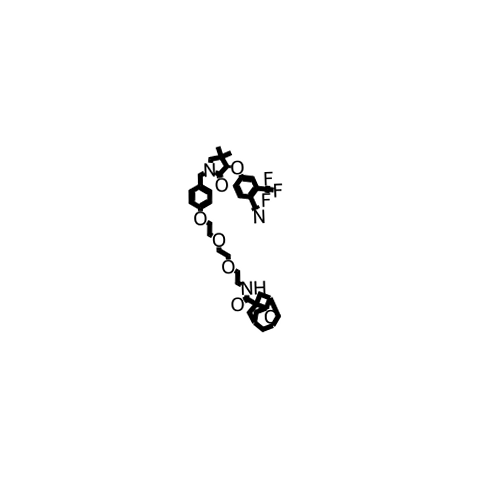 CC1(C)CN(Cc2ccc(OCCOCCOCCNC(=O)C34CC5CC6CC(C3)C4(C6)C5)cc2)C(=O)[C@@H]1Oc1ccc(C#N)c(C(F)(F)F)c1